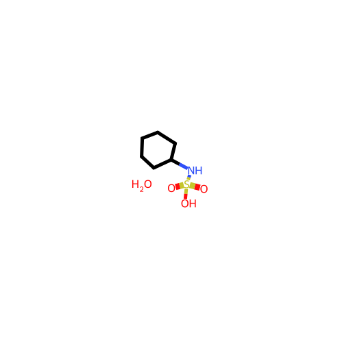 O.O=S(=O)(O)NC1CCCCC1